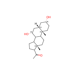 CC(=O)C1CCC2C3C(CC[C@]12C)[C@@]1(C)CC[C@@H](O)C[C@H]1C[C@H]3O